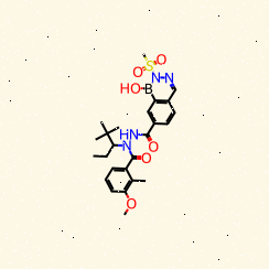 CCC(N(NC(=O)c1ccc2c(c1)B(O)N(S(C)(=O)=O)N=C2)C(=O)c1cccc(OC)c1C)C(C)(C)C